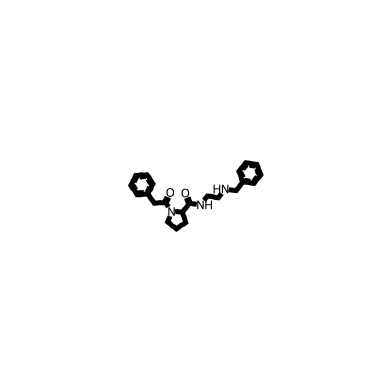 O=C(NCCNCc1ccccc1)C1CCCN1C(=O)Cc1ccccc1